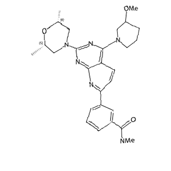 CNC(=O)c1cccc(-c2ccc3c(N4CCCC(OC)C4)nc(N4C[C@@H](C)O[C@@H](C)C4)nc3n2)c1